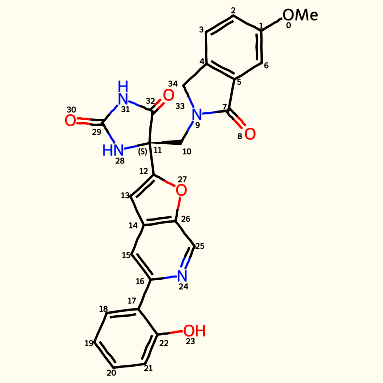 COc1ccc2c(c1)C(=O)N(C[C@@]1(c3cc4cc(-c5ccccc5O)ncc4o3)NC(=O)NC1=O)C2